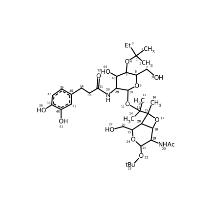 CCC(C)(C)OC1C(CO)OC(OC(C)(C)C2(C)OC3C(NC(C)=O)C(OC(C)(C)C)OC(CO)C32)C(NC(=O)CCc2ccc(O)c(O)c2)C1O